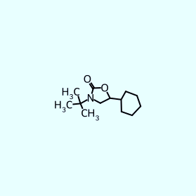 CC(C)(C)N1CC(C2CCCCC2)OC1=O